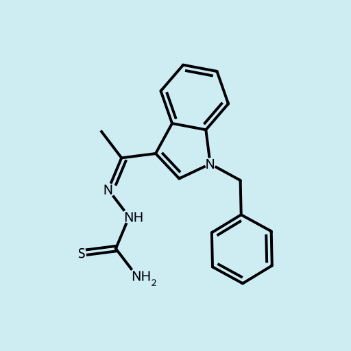 C/C(=N/NC(N)=S)c1cn(Cc2ccccc2)c2ccccc12